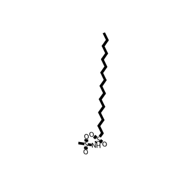 CCCCCCCCCCCCCCCCS(=O)(=O)NS(C)(=O)=O